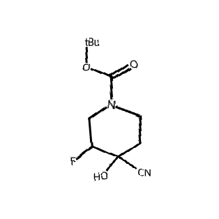 CC(C)(C)OC(=O)N1CCC(O)(C#N)C(F)C1